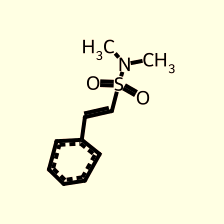 CN(C)S(=O)(=O)C=Cc1ccccc1